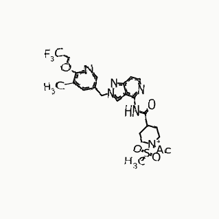 CC(=O)[N+]1(S(C)(=O)=O)CCC(C(=O)Nc2nccc3nn(Cc4cnc(OCC(F)(F)F)c(C)c4)cc23)CC1